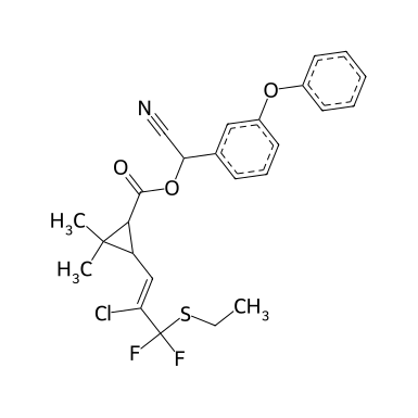 CCSC(F)(F)C(Cl)=CC1C(C(=O)OC(C#N)c2cccc(Oc3ccccc3)c2)C1(C)C